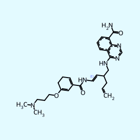 C=CCC(/C=C/NC(=O)C1=CCCC(OCCCN(C)C)=C1)CNc1ncnc2c(C(N)=O)cccc12